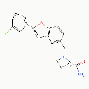 NC(=O)[C@@H]1CCN1Cc1ccc2oc(-c3cccc(F)c3)cc2c1